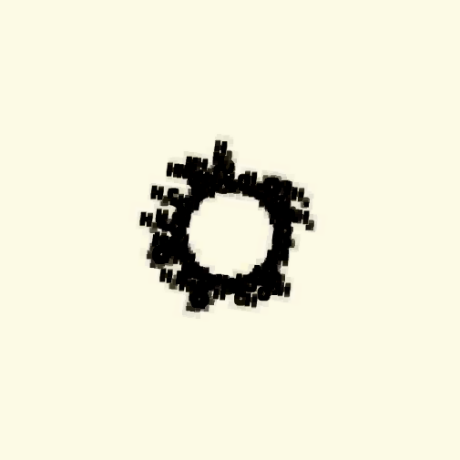 CCCC[C@H]1C(=O)N(C)[C@@H](CCCC)C(=O)N[C@@H](CCCNC(=N)N)C(=O)N[C@H](C(=O)NCC(N)=O)CSCC(=O)N[C@@H](Cc2ccc(OC)cc2)C(=O)N(C)[C@@H](C)C(=O)N[C@@H](CC(N)=O)C(=O)N2CCC[C@H]2C(=O)N[C@@H](Cc2cnc[nH]2)C(=O)N[C@@H](CCC(=O)O)C(=O)N2C[C@H](O)C[C@H]2C(=O)N[C@@H](Cc2c[nH]c3ccccc23)C(=O)N[C@@H](CCN)C(=O)N[C@@H](Cc2c[nH]c3ccccc23)C(=O)N1C